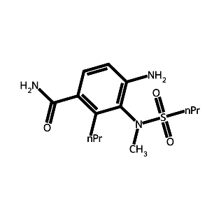 CCCc1c(C(N)=O)ccc(N)c1N(C)S(=O)(=O)CCC